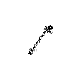 CN(CCOCCOCCOCCOCCNC(=O)OC(C)(C)C)S(=O)(=O)c1ccccc1[N+](=O)[O-]